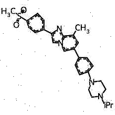 Cc1cc(-c2ccc(N3CCN(C(C)C)CC3)cc2)cn2cc(-c3ccc(S(C)(=O)=O)cc3)nc12